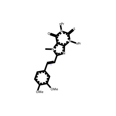 CCCn1c(=O)c2c(nc(/C=C/c3ccc(OC)c(OC)c3)n2C)n(CCC)c1=S